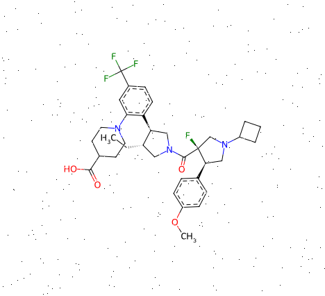 CC[C@H]1CN(C(=O)[C@]2(F)CN(C3CCC3)C[C@H]2c2ccc(OC)cc2)C[C@@H]1c1ccc(C(F)(F)F)cc1N1CCC(C(=O)O)CC1